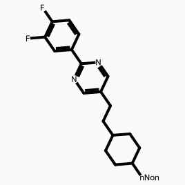 CCCCCCCCCC1CCC(CCc2cnc(-c3ccc(F)c(F)c3)nc2)CC1